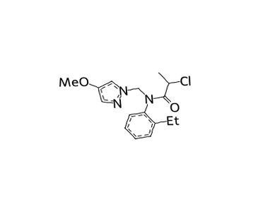 CCc1ccccc1N(Cn1cc(OC)cn1)C(=O)C(C)Cl